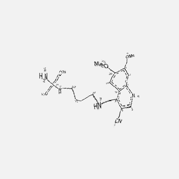 COc1cc2ncc(C#N)c(NCCCNS(N)(=O)=O)c2cc1OC